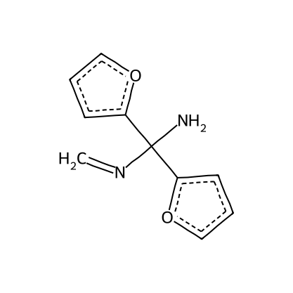 C=NC(N)(c1ccco1)c1ccco1